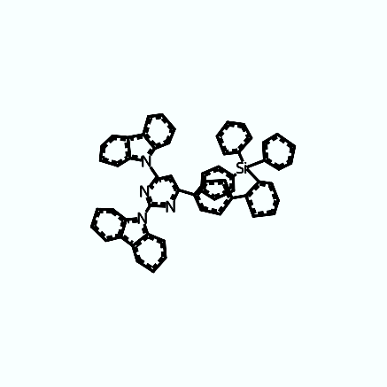 c1ccc([Si](c2ccccc2)(c2ccccc2)c2ccccc2-c2ccc(-c3cc(-n4c5ccccc5c5ccccc54)nc(-n4c5ccccc5c5ccccc54)n3)cc2)cc1